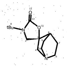 CC(C)(C)N1C[C@@]2(CN3CCC2CC3)OC1=O